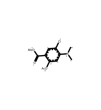 COC(=O)c1cc(Cl)c(N(C)C)cc1OC(C)=O